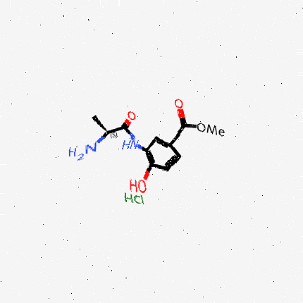 COC(=O)c1ccc(O)c(NC(=O)[C@H](C)N)c1.Cl